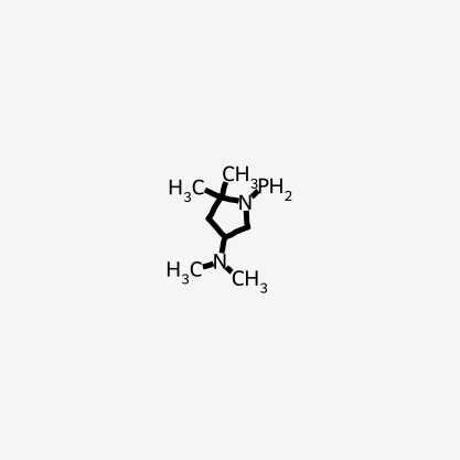 CN(C)C1CN(P)C(C)(C)C1